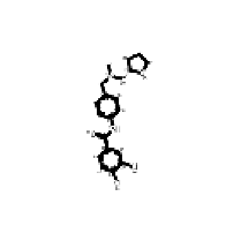 CN(Cc1ccc(NC(=O)c2ccc(Cl)c(Cl)c2)cc1)C[C@@H]1CCCO1